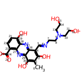 Cc1c(O)c(C=NCCN(CCO)CCO)c2nc3c(O)ccc(C(=O)O)c3nc2c1O